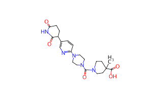 CC1(C(=O)O)CCN(C(=O)N2CCN(c3ccc(C4CCC(=O)NC4=O)cn3)CC2)CC1